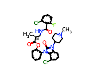 C[C@@H](CNC(=O)c1c(F)cccc1Cl)C(=O)Oc1ccccc1-n1c(=O)n(C2CCN(C)CC2)c2cccc(Cl)c21